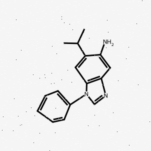 CC(C)c1cc2c(cc1N)ncn2-c1ccccc1